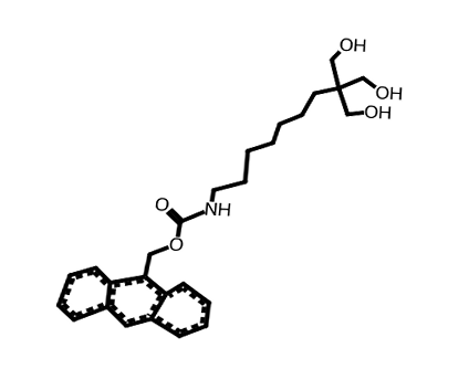 O=C(NCCCCCCCC(CO)(CO)CO)OCc1c2ccccc2cc2ccccc12